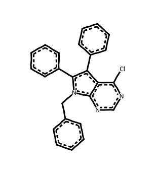 Clc1ncnc2c1c(-c1ccccc1)c(-c1ccccc1)n2Cc1ccccc1